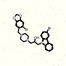 OC(CN1CCN(Cc2cc3c(cc2Br)OCO3)CC1)Cn1c2ccccc2c2cc(Br)ccc21